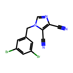 N#Cc1ncn(Cc2cc(Br)cc(Br)c2)c1C#N